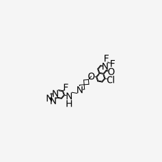 O=c1c2c(Cl)ccc(OC3CC4(C3)CN(CCNc3cc5nncn5cc3F)C4)c2ccn1C(F)F